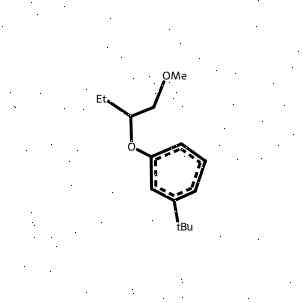 CCC(COC)Oc1cccc(C(C)(C)C)c1